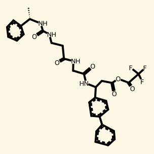 C[C@H](NC(=O)NCCC(=O)NCC(=O)NC(CC(=O)OC(=O)C(F)(F)F)c1ccc(-c2ccccc2)cc1)c1ccccc1